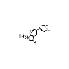 CC1CN(c2cnc3c(c2)c(I)cn3S)CCO1